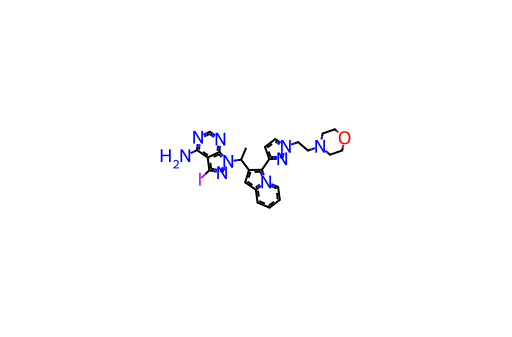 CC(c1cc2ccccn2c1-c1ccn(CCN2CCOCC2)n1)n1nc(I)c2c(N)ncnc21